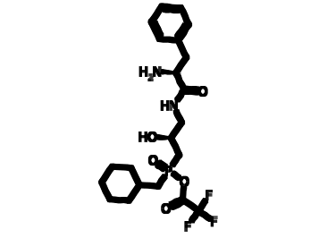 N[C@@H](Cc1ccccc1)C(=O)NC[C@H](O)CP(=O)(CC1CCCCC1)OC(=O)C(F)(F)F